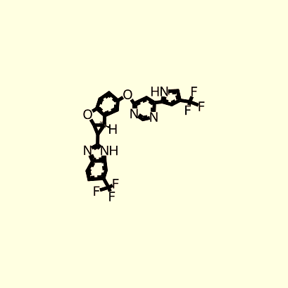 FC(F)(F)c1c[nH]c(-c2cc(Oc3ccc4c(c3)[C@@H]3C(O4)C3c3nc4ccc(C(F)(F)F)cc4[nH]3)ncn2)c1